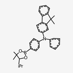 CC(C)C1OB(c2ccc(N(c3ccccc3)c3ccc4c(c3)C(C)(C)c3ccccc3-4)cc2)OC1(C)C